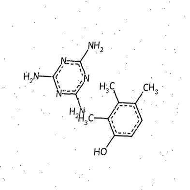 Cc1ccc(O)c(C)c1C.Nc1nc(N)nc(N)n1